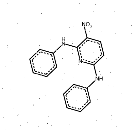 O=[N+]([O-])c1ccc(Nc2ccccc2)nc1Nc1ccccc1